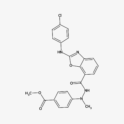 COC(=O)c1ccc(N(C)NC(=O)c2cccc3nc(Nc4ccc(Cl)cc4)oc23)cc1